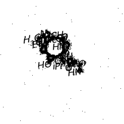 CCn1c(-c2cccnc2[C@H](C)OC)c2c3cc(ccc31)-c1cc(O)cc(c1)C[C@H](NC(=O)[C@H](C(C)C)N1CCC3(CN(C(=O)[C@H]4CN4)C3)C1=O)C(=O)N1CCC[C@H](N1)C(=O)OCC(C)(C)C2